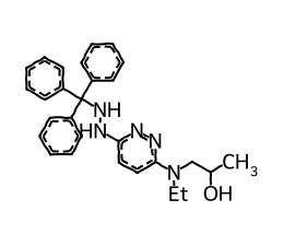 CCN(CC(C)O)c1ccc(NNC(c2ccccc2)(c2ccccc2)c2ccccc2)nn1